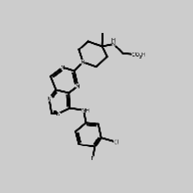 CC1(NCC(=O)O)CCN(c2ncc3ncnc(Nc4ccc(F)c(Cl)c4)c3n2)CC1